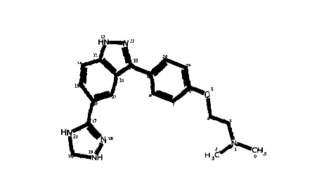 CN(C)CCOc1ccc(-c2n[nH]c3ccc(C4=NNCN4)cc23)cc1